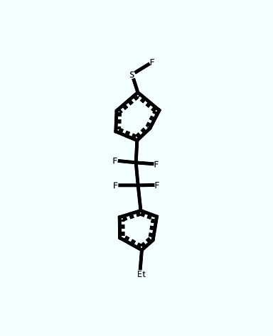 CCc1ccc(C(F)(F)C(F)(F)c2ccc(SF)cc2)cc1